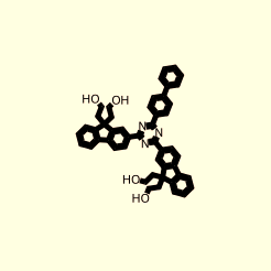 OCCC1(CCO)c2ccccc2-c2ccc(-c3nc(-c4ccc(-c5ccccc5)cc4)nc(-c4ccc5c(c4)C(CCO)(CCO)c4ccccc4-5)n3)cc21